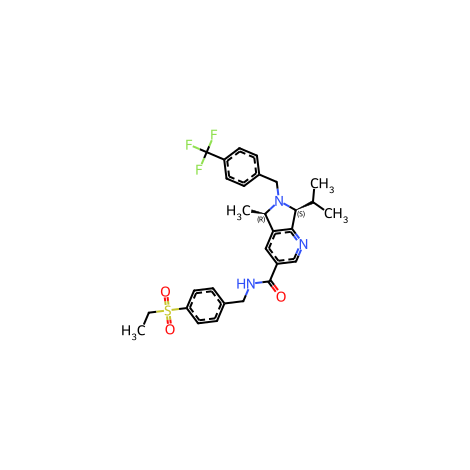 CCS(=O)(=O)c1ccc(CNC(=O)c2cnc3c(c2)[C@@H](C)N(Cc2ccc(C(F)(F)F)cc2)[C@H]3C(C)C)cc1